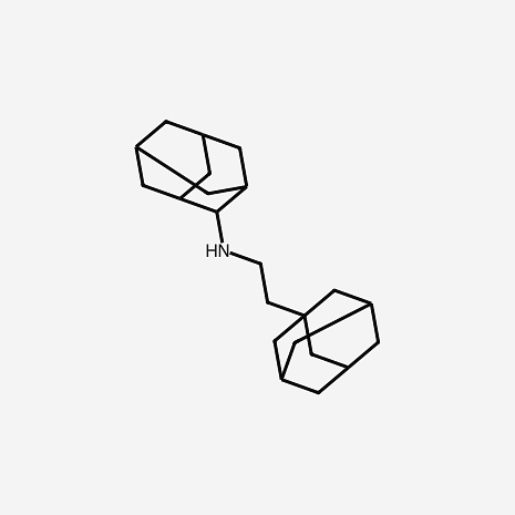 C(CC12CC3CC(CC(C3)C1)C2)NC1C2CC3CC(C2)CC1C3